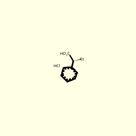 CC[C@@H](C(=O)O)c1ccccc1.Cl